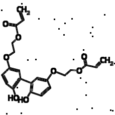 C=CC(=O)OCCOc1ccc(O)c(-c2cc(OCCOC(=O)C=C)ccc2O)c1